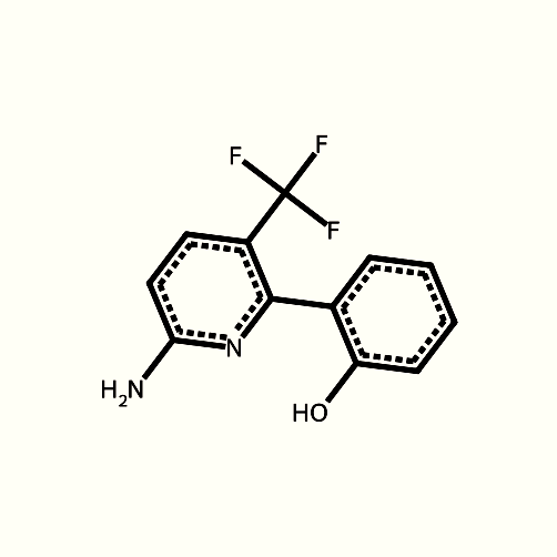 Nc1ccc(C(F)(F)F)c(-c2ccccc2O)n1